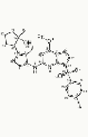 CCOc1nc(Nc2cnn(C3CCCC3(C)O)c2C)nc2c1ccn2S(=O)(=O)c1ccc(C)cc1